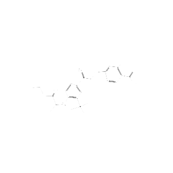 CCOC(=O)C(C)Nc1ccc(C(COc2ccc(C(=O)O)c(O)c2)=NO)cc1C(C)(C)C